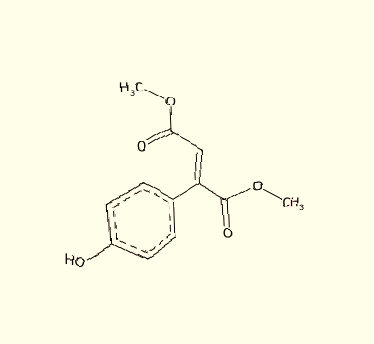 COC(=O)/C=C(/C(=O)OC)c1ccc(O)cc1